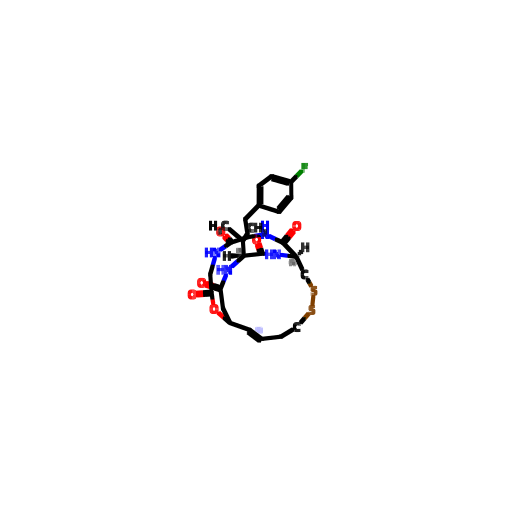 CC(C)[C@H]1NC(=O)CC2/C=C/CCSSC[C@@H](NC1=O)C(=O)NC(Cc1ccc(F)cc1)C(=O)NCC(=O)O2